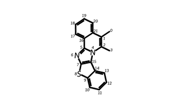 Cc1c(C)n2c(nc3sc4ccccc4c32)c2ccccc12